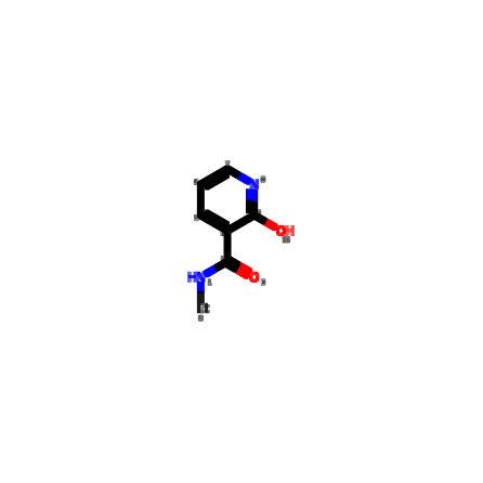 CCNC(=O)c1cccnc1O